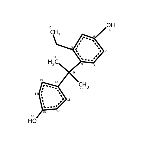 CCc1cc(O)ccc1C(C)(C)c1ccc(O)cc1